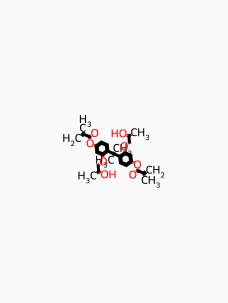 C=C(C)C(=O)Oc1ccc(C(C)(C)c2ccc(OC(=O)C(=C)C)cc2OCC(C)O)c(OCC(C)O)c1